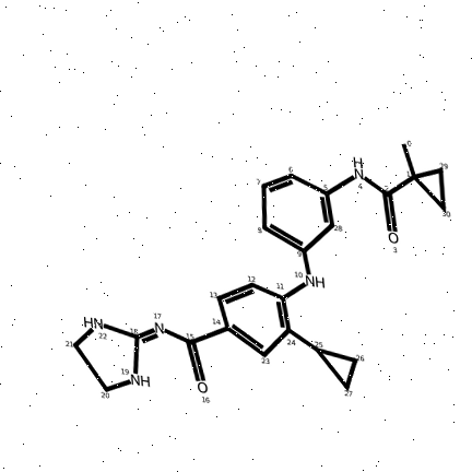 CC1(C(=O)Nc2cccc(Nc3ccc(C(=O)N=C4NCCN4)cc3C3CC3)c2)CC1